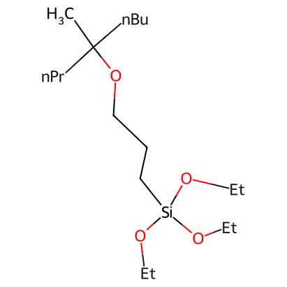 CCCCC(C)(CCC)OCCC[Si](OCC)(OCC)OCC